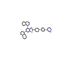 c1cncc(-c2ccc(-c3ccc(-c4nc5c(-c6cccc7ccccc67)cc(-c6cccc7ccccc67)cc5o4)cc3)cc2)c1